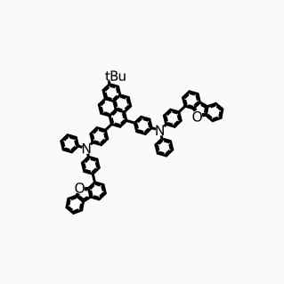 CC(C)(C)c1cc2ccc3c(-c4ccc(N(c5ccccc5)c5ccc(-c6cccc7c6oc6ccccc67)cc5)cc4)cc(-c4ccc(N(c5ccccc5)c5ccc(-c6cccc7c6oc6ccccc67)cc5)cc4)c4ccc(c1)c2c34